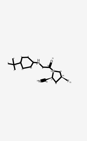 CC(C)(C)C1CCC(NCC(=O)N2C[C@@H](F)C[C@H]2C#N)CC1